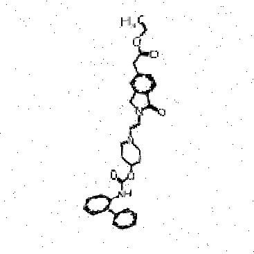 CCOC(=O)Cc1ccc2c(c1)CN(CCN1CCC(OC(=O)Nc3ccccc3-c3ccccc3)CC1)C2=O